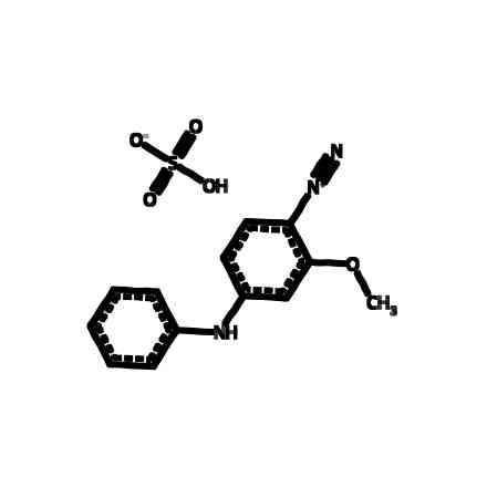 COc1cc(Nc2ccccc2)ccc1[N+]#N.O=S(=O)([O-])O